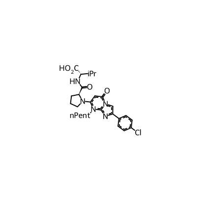 CCCCCn1c(N2CCC[C@H]2C(=O)N[C@H](C(=O)O)C(C)C)cc(=O)n2cc(-c3ccc(Cl)cc3)nc12